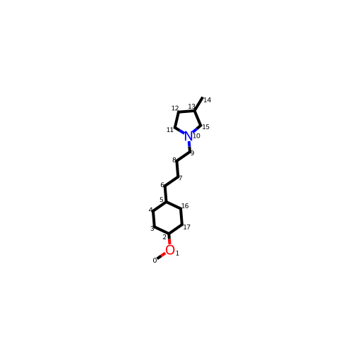 COC1CCC(CCCCN2CCC(C)C2)CC1